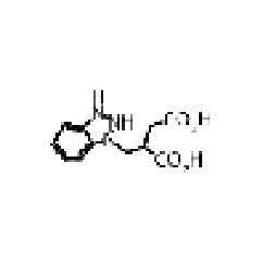 O=C(O)CC(CN1NNc2ccccc21)C(=O)O